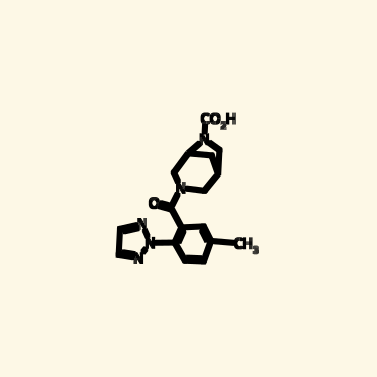 Cc1ccc(-n2nccn2)c(C(=O)N2CC3CC(C2)N(C(=O)O)C3)c1